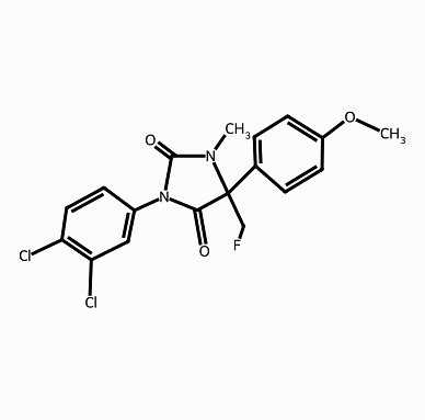 COc1ccc(C2(CF)C(=O)N(c3ccc(Cl)c(Cl)c3)C(=O)N2C)cc1